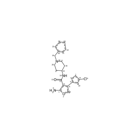 Nc1onc(-c2ccc(Cl)s2)c1C(=O)NC1CCN(Cc2ccccc2)CC1